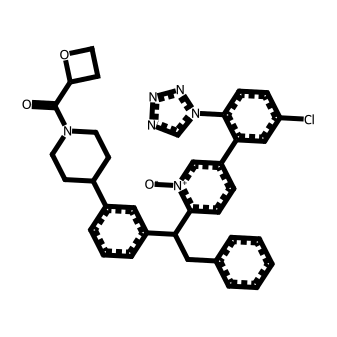 O=C(C1CCO1)N1CCC(c2cccc(C(Cc3ccccc3)c3ccc(-c4cc(Cl)ccc4-n4cnnn4)c[n+]3[O-])c2)CC1